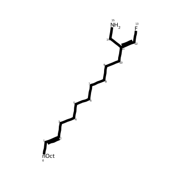 CCCCCCCC/C=C/CCCCCCCC/C(=C/F)CN